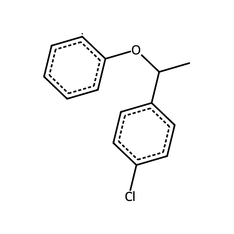 CC(Oc1[c]cccc1)c1ccc(Cl)cc1